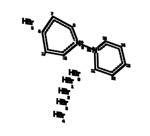 Br.Br.Br.Br.Br.Br.c1cc[n+](-[n+]2ccccc2)cc1